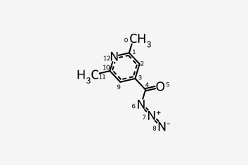 Cc1cc(C(=O)N=[N+]=[N-])cc(C)n1